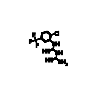 N=C(N)NC(=N)Nc1cc(C(F)(F)F)ccc1Cl